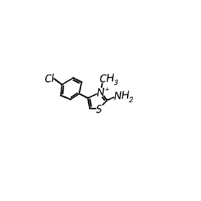 C[n+]1c(-c2ccc(Cl)cc2)csc1N